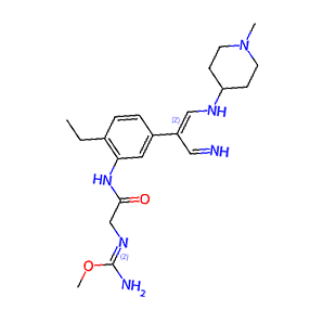 CCc1ccc(/C(C=N)=C/NC2CCN(C)CC2)cc1NC(=O)C/N=C(/N)OC